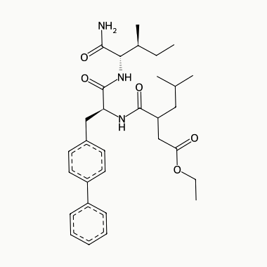 CCOC(=O)CC(CC(C)C)C(=O)N[C@@H](Cc1ccc(-c2ccccc2)cc1)C(=O)N[C@H](C(N)=O)[C@@H](C)CC